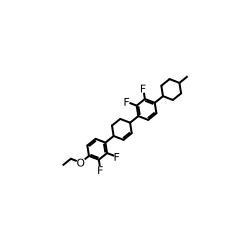 CCOc1ccc(C2C=CC(c3ccc(C4CCC(C)CC4)c(F)c3F)CC2)c(F)c1F